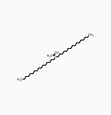 C=CC.CCCCCCCCCCCCCCCCOCCCCCCCCCCCCCCCC